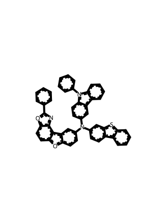 c1ccc(-c2nc3c(ccc4oc5ccc(N(c6ccc7c(c6)sc6ccccc67)c6ccc7c(c6)c6ccccc6n7-c6ccccc6)cc5c43)o2)cc1